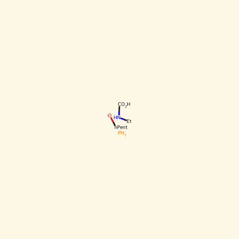 CCCCC[O].CCNC(=O)O.P